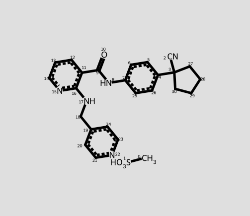 CS(=O)(=O)O.N#CC1(c2ccc(NC(=O)c3cccnc3NCc3ccncc3)cc2)CCCC1